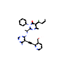 C=c1nc(C(C)Nc2ncnc(N)c2C#Cc2ncccc2CO)n(-c2ccccc2)c(=O)/c1=C(Cl)/C=C\C